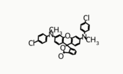 CN(c1ccc(Cl)cc1)c1ccc2c(c1)Oc1cc(N(C)c3ccc(Cl)cc3)ccc1C21OC(=O)c2ccccc21